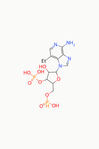 CCc1cnc(N)c2ncn(C3OC(CO[PH](=O)O)C(OP(=O)(O)O)C3O)c12